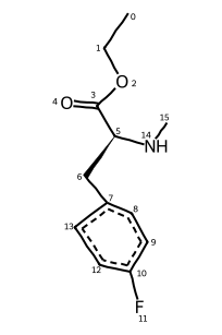 CCOC(=O)[C@H](Cc1ccc(F)cc1)NC